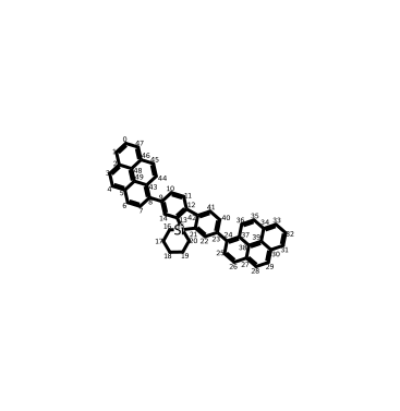 c1cc2ccc3ccc(-c4ccc5c(c4)[Si]4(CCCCC4)c4cc(-c6ccc7ccc8cccc9ccc6c7c89)ccc4-5)c4ccc(c1)c2c34